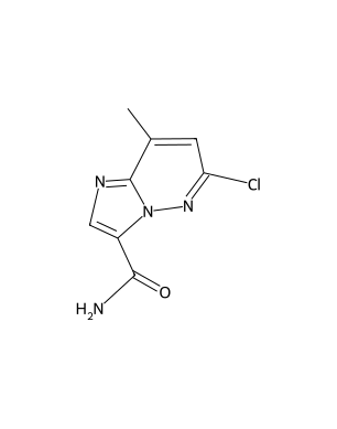 Cc1cc(Cl)nn2c(C(N)=O)cnc12